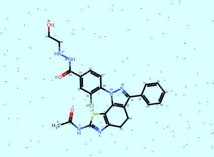 CC(=O)Nc1nc2c(s1)-c1c(c(-c3ccccc3)nn1-c1ccc(C(=O)NNCCO)cc1Cl)CC2